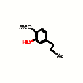 COc1ccc(CCC(C)=O)cc1O